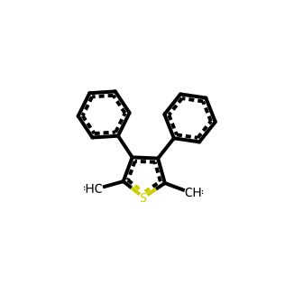 [CH]c1sc([CH])c(-c2ccccc2)c1-c1ccccc1